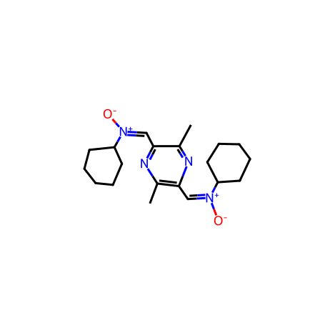 Cc1nc(/C=[N+](/[O-])C2CCCCC2)c(C)nc1/C=[N+](/[O-])C1CCCCC1